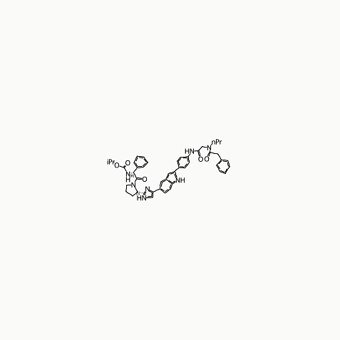 CCCN(CC(=O)Nc1ccc(-c2cc3cc(-c4c[nH]c([C@@H]5CCCN5C(=O)[C@H](NC(=O)OC(C)C)c5ccccc5)n4)ccc3[nH]2)cc1)C(=O)Cc1ccccc1